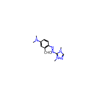 CN(C)c1ccc(N=Nc2n(C)cn[n+]2C)c(C=O)c1